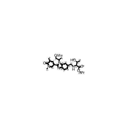 COCC(C)n1c(-c2cc(C)c(=O)n(C)c2)nc2ccc(CNC(C(=O)OC(C)C)C(C)O)cc21